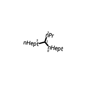 [CH2]CCCCCCC(CCC)CCCCCCC